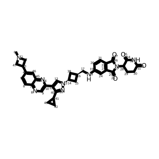 CN1CC(c2ccc3ncc(-c4cn([C@H]5C[C@H](CNc6ccc7c(c6)C(=O)N(C6CCC(=O)NC6=O)C7=O)C5)nc4C4CC4)nc3c2)C1